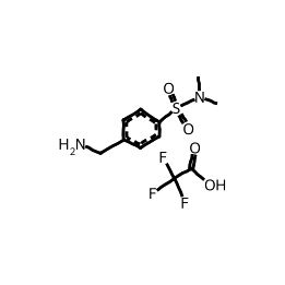 CN(C)S(=O)(=O)c1ccc(CN)cc1.O=C(O)C(F)(F)F